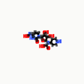 O=C(O)N(C1CCNCC1)[C@@H]1O[C@@H](n2cc/c(=N/O)[nH]c2=O)[C@H](O)[C@@H]1O